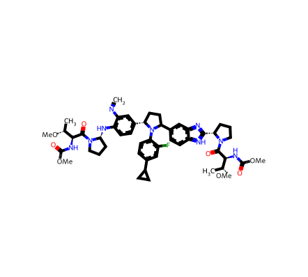 C=Nc1cc([C@@H]2CCC(c3ccc4[nH]c([C@@H]5CCCN5C(=O)[C@@H](NC(=O)OC)[C@@H](C)OC)nc4c3)N2c2ccc(C3CC3)cc2F)ccc1N[C@@H]1CCCN1C(=O)[C@@H](NC(=O)OC)[C@@H](C)OC